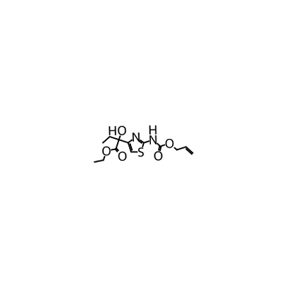 C=CCOC(=O)Nc1nc(C(O)(CC)C(=O)OCC)cs1